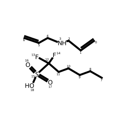 C=CCNCC=C.CCCCCC(F)(F)S(=O)(=O)O